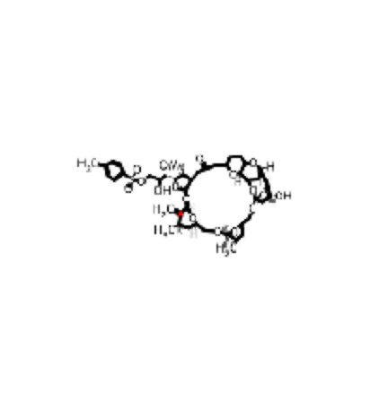 C=C1CC2CC[C@]34C[C@@H](O)C(O3)[C@@H]3OC5CCC(CC(=O)CC6C(C[C@H]7O[C@@H](CC[C@@H]1O2)C[C@@H](C)C7=C)O[C@H](CC(O)COS(=O)(=O)c1ccc(C)cc1)[C@@H]6OC)O[C@@H]5C(O4)C3I